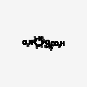 CC(C)(Oc1ccc([N+](=O)[O-])cn1)C(=O)O